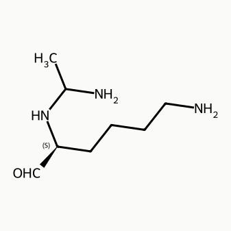 CC(N)N[C@H](C=O)CCCCN